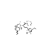 CCCCC(C)(CC=C(OC1CCCCO1)[C@@H]1[C@H]2CC(=O)O[C@@H]2C[C@H]1C)C(F)(F)F